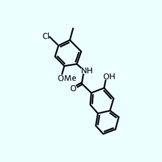 COc1cc(Cl)c(C)cc1NC(=O)c1cc2ccccc2cc1O